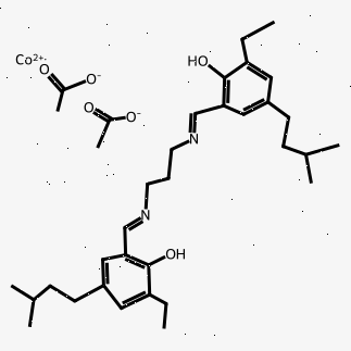 CC(=O)[O-].CC(=O)[O-].CCc1cc(CCC(C)C)cc(C=NCCCN=Cc2cc(CCC(C)C)cc(CC)c2O)c1O.[Co+2]